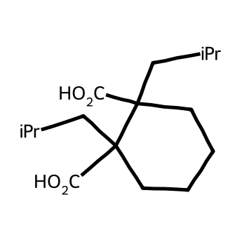 CC(C)CC1(C(=O)O)CCCCC1(CC(C)C)C(=O)O